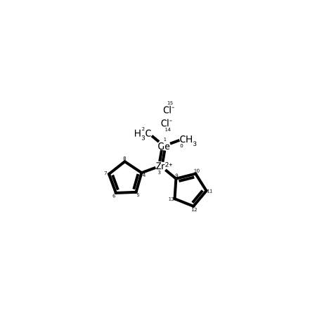 [CH3][Ge]([CH3])=[Zr+2]([C]1=CC=CC1)[C]1=CC=CC1.[Cl-].[Cl-]